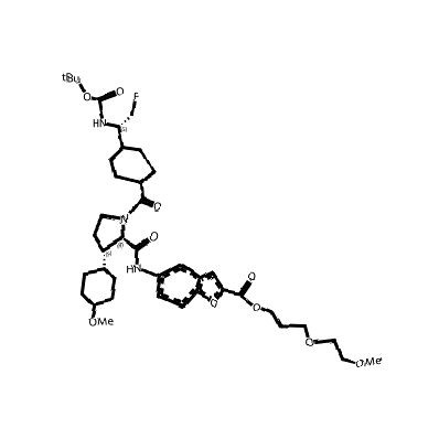 COCCOCCCOC(=O)c1cc2cc(NC(=O)[C@H]3[C@H](C4CCC(OC)CC4)CCN3C(=O)C3CCC([C@@H](CF)NC(=O)OC(C)(C)C)CC3)ccc2o1